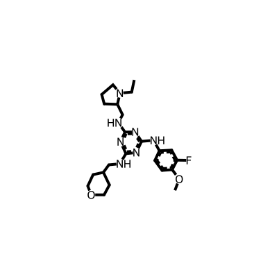 CCN1CCCC1CNc1nc(NCC2CCOCC2)nc(Nc2ccc(OC)c(F)c2)n1